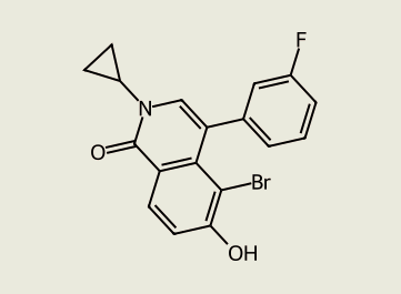 O=c1c2ccc(O)c(Br)c2c(-c2cccc(F)c2)cn1C1CC1